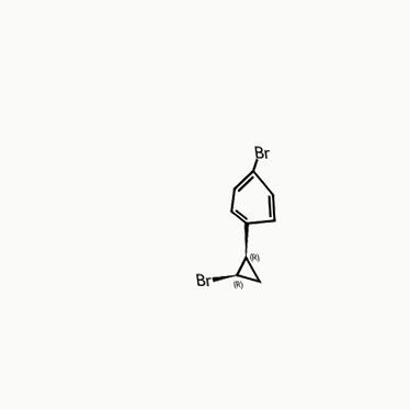 Brc1ccc([C@H]2C[C@H]2Br)cc1